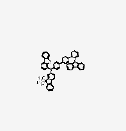 CC1(C)c2ccccc2-c2ccc(N(c3ccc(-c4ccc(-c5ccccc5-n5c6ccccc6c6ccccc65)cc4)cc3)c3cccc4c3sc3ccccc34)cc21